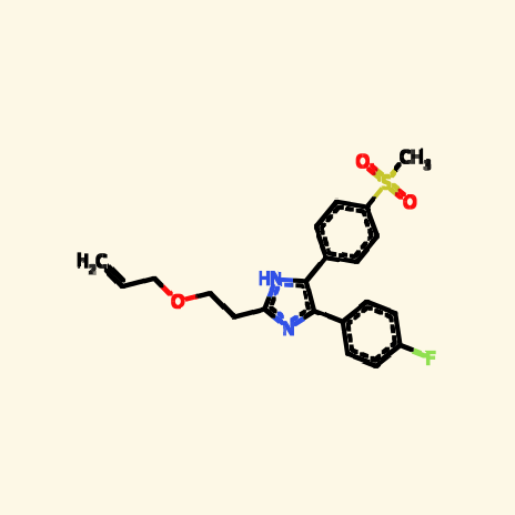 C=CCOCCc1nc(-c2ccc(F)cc2)c(-c2ccc(S(C)(=O)=O)cc2)[nH]1